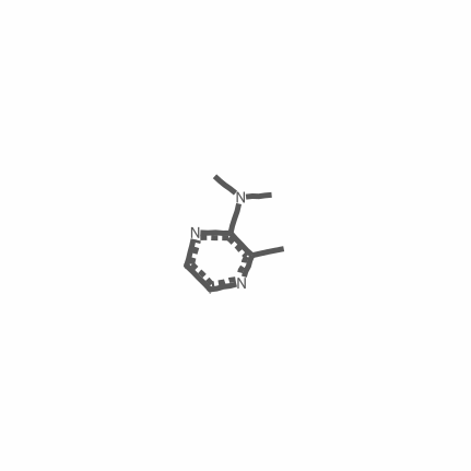 Cc1n[c]cnc1N(C)C